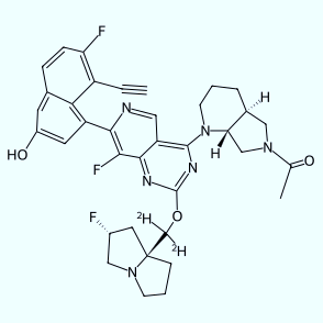 [2H]C([2H])(Oc1nc(N2CCC[C@H]3CN(C(C)=O)C[C@@H]32)c2cnc(-c3cc(O)cc4ccc(F)c(C#C)c34)c(F)c2n1)[C@@]12CCCN1C[C@H](F)C2